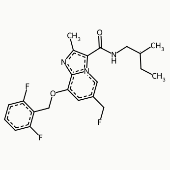 CC[C](C)CNC(=O)c1c(C)nc2c(OCc3c(F)cccc3F)cc(CF)cn12